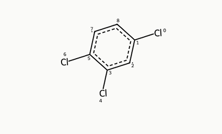 Clc1[c]c(Cl)c(Cl)[c]c1